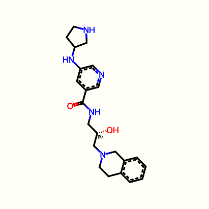 O=C(NC[C@H](O)CN1CCc2ccccc2C1)c1cncc(NC2CCNC2)c1